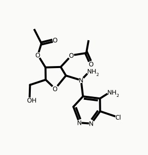 CC(=O)OC1C(CO)OC(N(N)c2cnnc(Cl)c2N)C1OC(C)=O